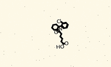 O=C(O)CCCCC1=NC2(c3ccccc3Cl)CCCC(O1)C2=O